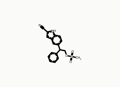 CS(=O)(=O)OCC(c1ccccc1)c1ccc2[nH]c(C#N)cc2c1